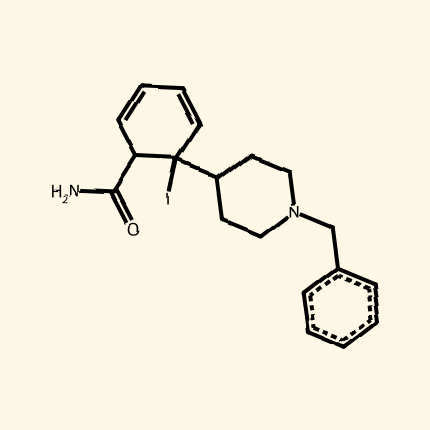 NC(=O)C1C=CC=CC1(I)C1CCN(Cc2ccccc2)CC1